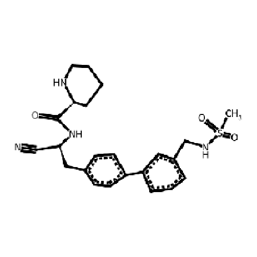 CS(=O)(=O)NCc1cccc(-c2ccc(C[C@@H](C#N)NC(=O)[C@@H]3CCCCN3)cc2)c1